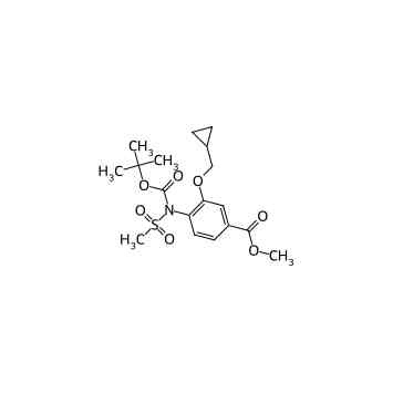 COC(=O)c1ccc(N(C(=O)OC(C)(C)C)S(C)(=O)=O)c(OCC2CC2)c1